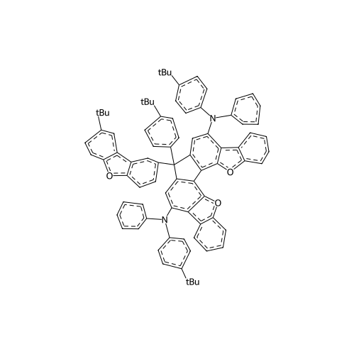 CC(C)(C)c1ccc(N(c2ccccc2)c2cc3c(c4oc5ccccc5c24)-c2c(cc(N(c4ccccc4)c4ccc(C(C)(C)C)cc4)c4c2oc2ccccc24)C3(c2ccc(C(C)(C)C)cc2)c2ccc3oc4ccc(C(C)(C)C)cc4c3c2)cc1